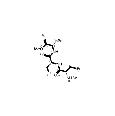 CCCC[C@H](NC(=O)[C@H](CC(C)C)NC(=O)[C@H](CC(C)C)NC(C)=O)C(=O)OC